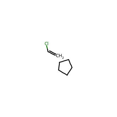 C1CCCC1.C=CCl